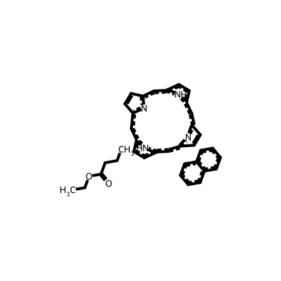 C1=Cc2cc3ccc(cc4nc(cc5ccc(cc1n2)[nH]5)C=C4)[nH]3.CCCC(=O)OCC.c1ccc2ccccc2c1